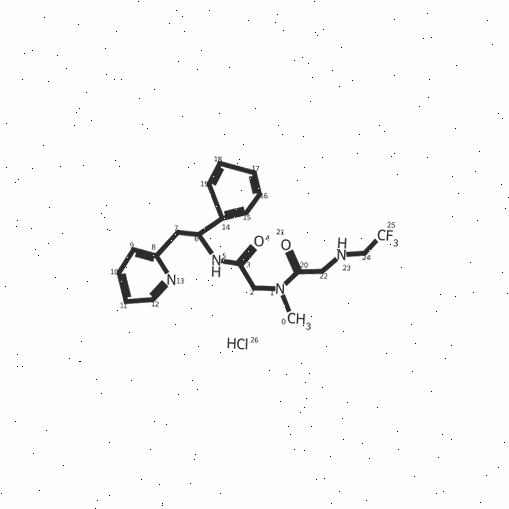 CN(CC(=O)NC(Cc1ccccn1)c1ccccc1)C(=O)CNCC(F)(F)F.Cl